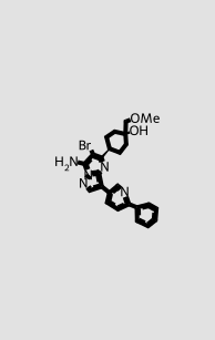 COC[C@]1(O)CC[C@@H](c2nc3c(-c4ccc(-c5ccccc5)nc4)cnn3c(N)c2Br)CC1